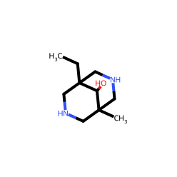 CCC12CNCC(C)(CNC1)C2O